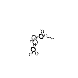 CCCCOc1ccc([C@H]2CCC[C@H]3CN(c4ccc(Cl)c(OC)c4)CCN32)cc1OC